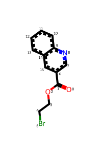 O=C(OCCBr)c1cnc2ccccc2c1